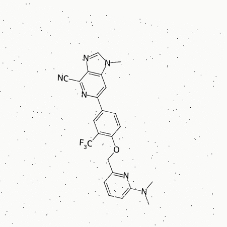 CN(C)c1cccc(COc2ccc(-c3cc4c(ncn4C)c(C#N)n3)cc2C(F)(F)F)n1